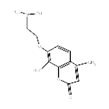 Cc1cc(=O)oc2c(C)c(OCCN(C)C)ccc12